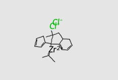 C[C](C)=[Zr+2][C]1(C2=CC=CC2)C2=CC=CCC2CC1(C)C.[Cl-].[Cl-]